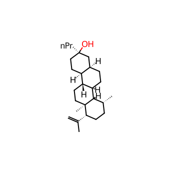 C=C(C)[C@H]1CC[C@@H](C)[C@H]2[C@@H]3CC[C@@H]4C[C@@](O)(CCC)CC[C@@H]4[C@H]3CC[C@@]21C